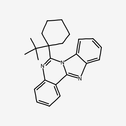 CC(C)(C)C1(c2nc3ccccc3c3nc4ccccc4n23)CCCCC1